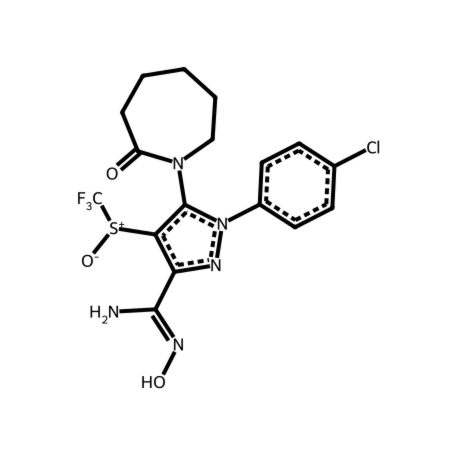 NC(=NO)c1nn(-c2ccc(Cl)cc2)c(N2CCCCCC2=O)c1[S+]([O-])C(F)(F)F